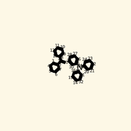 C=C(c1ccccc1)c1ccccc1.c1ccc(N(c2ccccc2)c2ccccc2)cc1